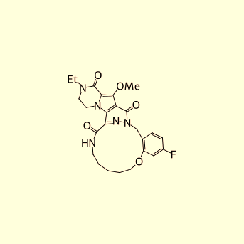 CCN1CCn2c(c(OC)c3c(=O)n4nc(c32)C(=O)NCCCCCOc2cc(F)ccc2C4)C1=O